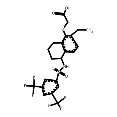 CCc1ccc2c(c1OCC(=O)O)CCCC2NS(=O)(=O)c1cc(C(F)(F)F)cc(C(F)(F)F)c1